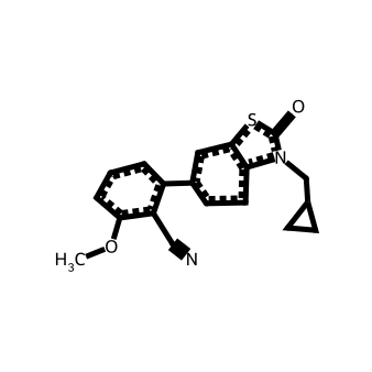 COc1cccc(-c2ccc3c(c2)sc(=O)n3CC2CC2)c1C#N